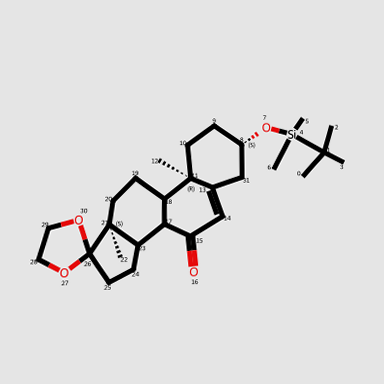 CC(C)(C)[Si](C)(C)O[C@H]1CC[C@@]2(C)C(=CC(=O)C3C2CC[C@@]2(C)C3CCC23OCCO3)C1